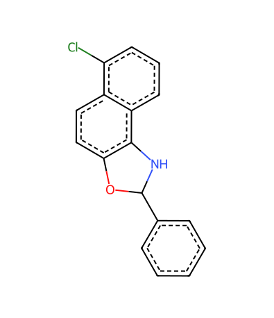 Clc1cccc2c3c(ccc12)OC(c1ccccc1)N3